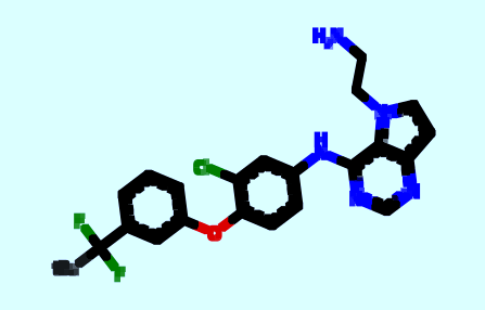 CC(C)(C)C(F)(F)c1cccc(Oc2ccc(Nc3ncnc4ccn(CCN)c34)cc2Cl)c1